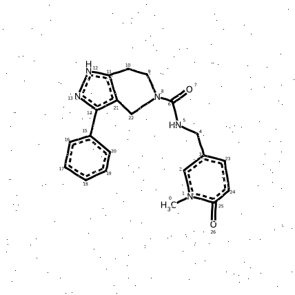 Cn1cc(CNC(=O)N2CCc3[nH]nc(-c4ccccc4)c3C2)ccc1=O